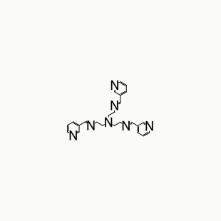 C(=NCCN(CCN=Cc1cccnc1)CCN=Cc1cccnc1)c1cccnc1